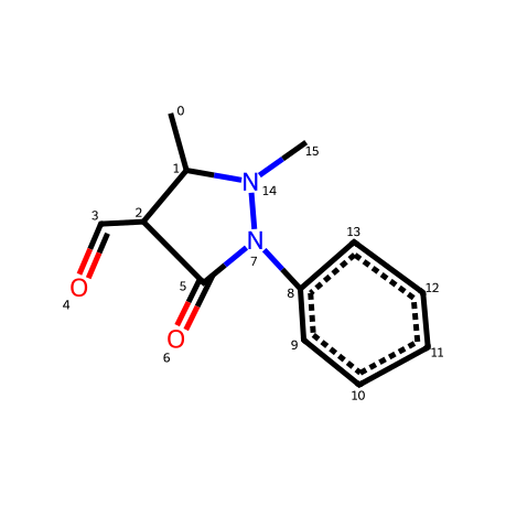 CC1C(C=O)C(=O)N(c2ccccc2)N1C